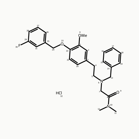 COc1cc(CCN(CC(=O)N(C)C)Cc2ccccc2)ccc1OCc1cccc(F)c1.Cl